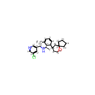 FC(F)(F)C1=CC=CC([C@]2(CCNCc3cncc(Cl)c3)CCOC3(CCCC3)C2)C1